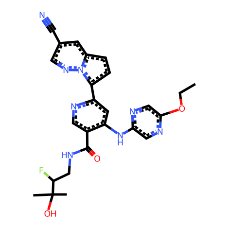 CCOc1cnc(Nc2cc(-c3ccc4cc(C#N)cnn34)ncc2C(=O)NCC(F)C(C)(C)O)cn1